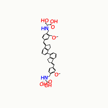 COCc1cc(/C=C2\CCc3c2cccc3-c2cccc3c2CC/C3=C\c2ccc(CN[C@@H](CO)C(=O)O)c(OC)c2)ccc1CN[C@@H](CO)C(=O)O